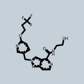 O=C(NCCO)c1nccc2nn(Cc3ccc(OCCC(F)(F)F)nc3)cc12